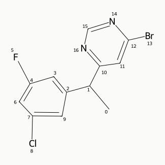 CC(c1cc(F)cc(Cl)c1)c1cc(Br)ncn1